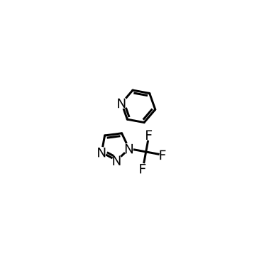 FC(F)(F)n1ccnn1.c1ccncc1